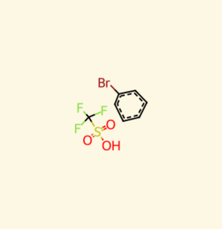 Brc1ccccc1.O=S(=O)(O)C(F)(F)F